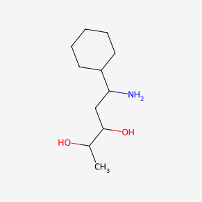 CC(O)C(O)CC(N)C1CCCCC1